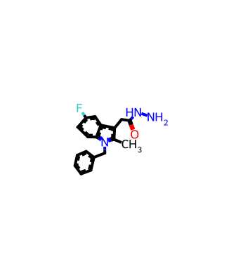 Cc1c(CC(=O)NN)c2cc(F)ccc2n1Cc1ccccc1